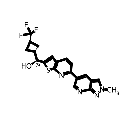 Cn1cc2cc(-c3ccc4cc([C@@H](O)[C@H]5C[C@H](C(F)(F)F)C5)sc4n3)cnc2n1